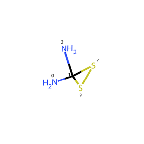 NC1(N)SS1